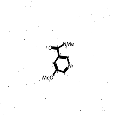 CNC(=O)c1cncc(OC)c1